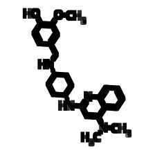 COc1cc(CN[C@H]2CC[C@@H](Nc3cc(N(C)C)c4ccccc4n3)CC2)ccc1O